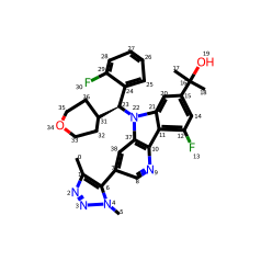 Cc1nnn(C)c1-c1cnc2c3c(F)cc(C(C)(C)O)cc3n([C@H](c3ccccc3F)C3CCOCC3)c2c1